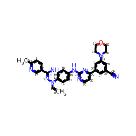 C=CN(/N=C(\N)c1ccc(C)nc1)c1ccc(Nc2nccc(-c3cc(C#N)cc(N4CCOCC4)c3)n2)cc1